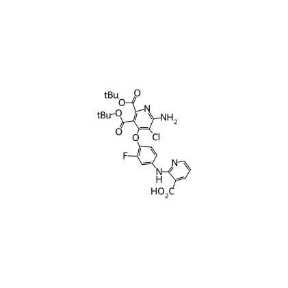 CC(C)(C)OC(=O)c1nc(N)c(Cl)c(Oc2ccc(Nc3ncccc3C(=O)O)cc2F)c1C(=O)OC(C)(C)C